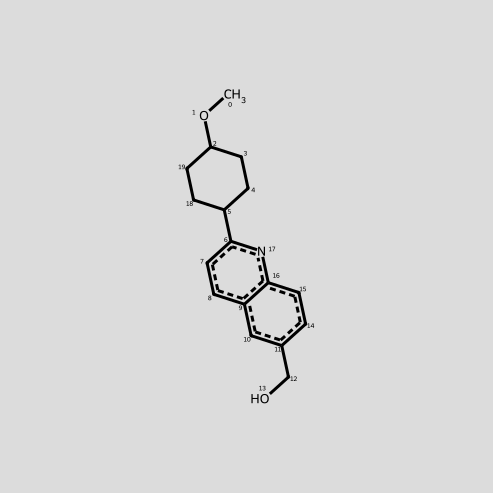 COC1CCC(c2ccc3cc(CO)ccc3n2)CC1